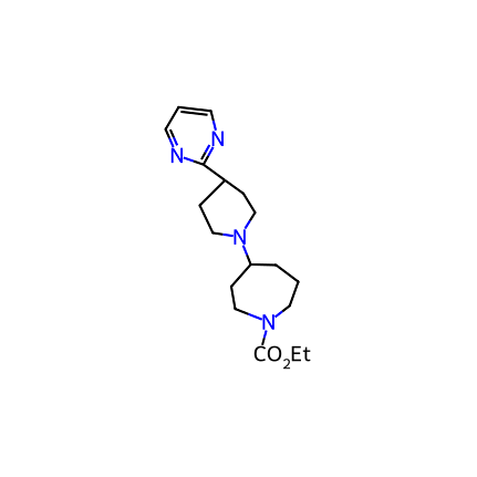 CCOC(=O)N1CCCC(N2CCC(c3ncccn3)CC2)CC1